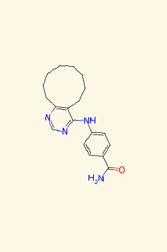 NC(=O)c1ccc(Nc2ncnc3c2CCCCCCCC3)cc1